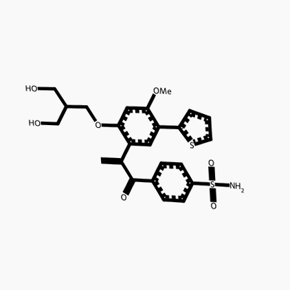 C=C(C(=O)c1ccc(S(N)(=O)=O)cc1)c1cc(-c2cccs2)c(OC)cc1OCC(CO)CO